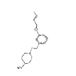 C/C=C/COc1cccc(CCC2CCC(CCC)CC2)c1